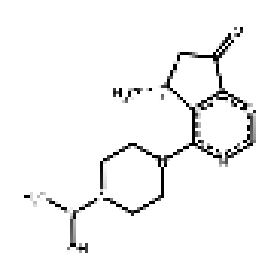 CB(O)N1CCN(c2ncnc3c2[C@H](C)CC3=O)CC1